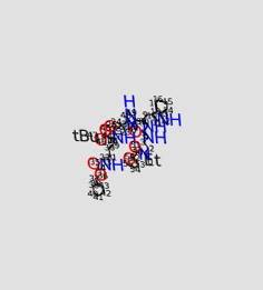 CCN(CCNC(=O)N[C@H](Cc1c[nH]c2ccccc12)c1nc(C(C)(C)C(=O)N[C@H](CCCCNC(=O)OCc2ccccc2)C(=O)OC(C)(C)C)c[nH]1)C(=O)c1ccco1